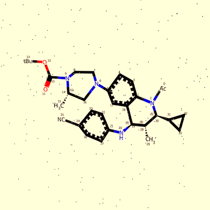 CC(=O)N1c2ccc(N3CCN(C(=O)OC(C)(C)C)[C@@H](C)C3)cc2[C@H](Nc2ccc(C#N)cc2)[C@@H](C)[C@@H]1C1CC1